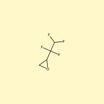 FC(F)C(F)(F)C1CO1